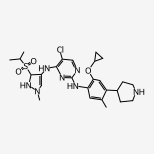 Cc1cc(Nc2ncc(Cl)c(NC3=CN(C)NC3S(=O)(=O)C(C)C)n2)c(OC2CC2)cc1C1CCNCC1